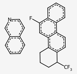 Fc1cc2c3c(ccc2c2ccccc12)C(C(F)(F)F)CCC3.c1ccc2cnccc2c1